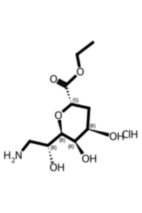 CCOC(=O)[C@@H]1C[C@@H](O)[C@@H](O)[C@@H]([C@H](O)CN)O1.Cl